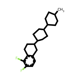 CC1CCC(C2CCC(C3CCc4c(ccc(F)c4F)C3)CC2)CC1